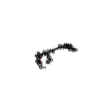 CC1=C2C[C@H]3[C@@H](CC=C4C[C@@H](O)CC[C@@]43C)[C@@H]2CCC12O[C@@H]1C[C@H](C)CN(CCNC(=O)C(CCCCNC(=O)CCCCCNC(=O)COC3CC[C@@]4(C)[C@H](CC[C@@H]5[C@@H]4C[C@@H](O)[C@]4(C)[C@@H](C6=CC(=O)OC6)CC[C@]54O)C3)NC(=O)c3ccc(C(=O)c4ccccc4)cc3)[C@H]1[C@H]2C